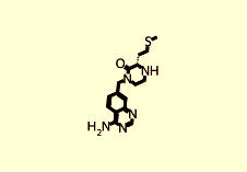 CSCC[C@@H]1NCCN(Cc2ccc3c(N)ncnc3c2)C1=O